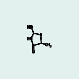 CC1SC(O)NC1=O